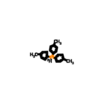 [2H][PH](c1ccc(C)cc1)(c1ccc(C)cc1)c1ccc(C)cc1